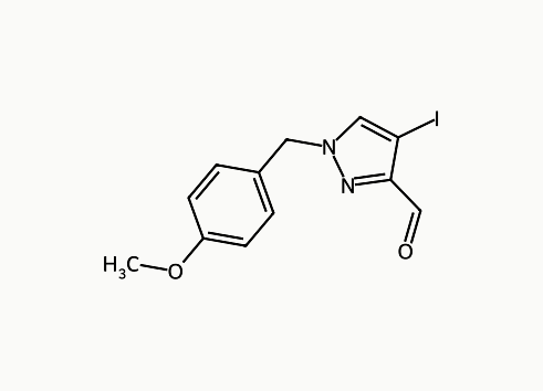 COc1ccc(Cn2cc(I)c(C=O)n2)cc1